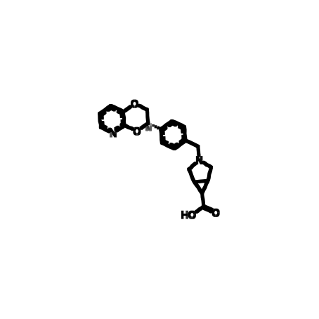 O=C(O)C1C2CN(Cc3ccc([C@H]4COc5cccnc5O4)cc3)CC21